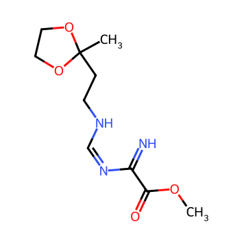 COC(=O)C(=N)/N=C\NCCC1(C)OCCO1